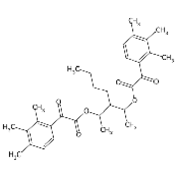 CCCCC(C(C)OC(=O)C(=O)c1ccc(C)c(C)c1C)C(C)OC(=O)C(=O)c1ccc(C)c(C)c1C